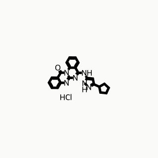 Cl.O=c1c2ccccc2nc2nc(Nc3cc(C4CCCC4)n[nH]3)c3ccccc3n12